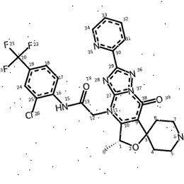 C[C@H]1OC2(CCNCC2)c2c1n(CC(=O)Nc1ccc(C(F)(F)F)cc1Cl)c1nc(-c3ccccn3)nn1c2=O